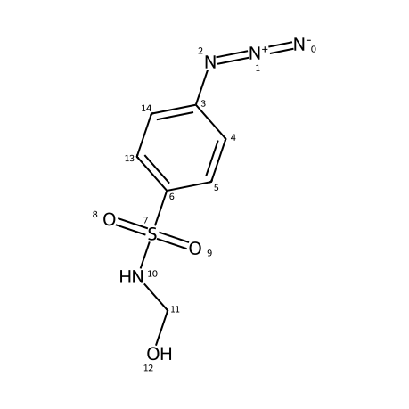 [N-]=[N+]=Nc1ccc(S(=O)(=O)NCO)cc1